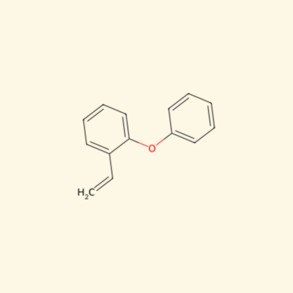 C=Cc1ccccc1Oc1ccccc1